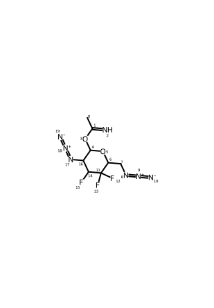 CC(=N)OC1OC(CN=[N+]=[N-])C(F)(F)C(F)C1N=[N+]=[N-]